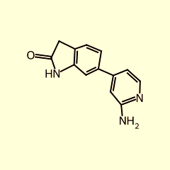 Nc1cc(-c2ccc3c(c2)NC(=O)C3)ccn1